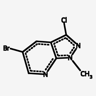 Cn1nc(Cl)c2cc(Br)cnc21